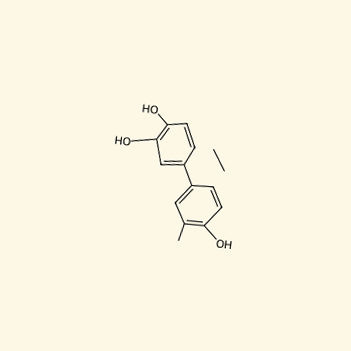 CC.Cc1cc(-c2ccc(O)c(O)c2)ccc1O